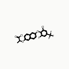 CC(Oc1ccc2cc(Oc3c(F)cc(C(F)(F)F)cc3Cl)ccc2c1)C(=O)Cl